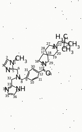 Cn1ccnc1CN(Cc1ccc(C(=O)N2CCC3(CCN(CC(C)(C)C)CC3)C2)cc1)Cc1ncc[nH]1